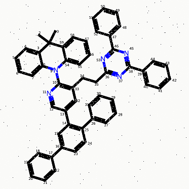 CC1(C)c2ccccc2N(c2ncc(-c3cc(-c4ccccc4)ccc3-c3ccccc3)cc2CCc2nc(-c3ccccc3)nc(-c3ccccc3)n2)c2ccccc21